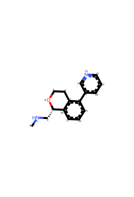 CNC[C@@H]1OCCc2c(-c3cccnc3)cccc21